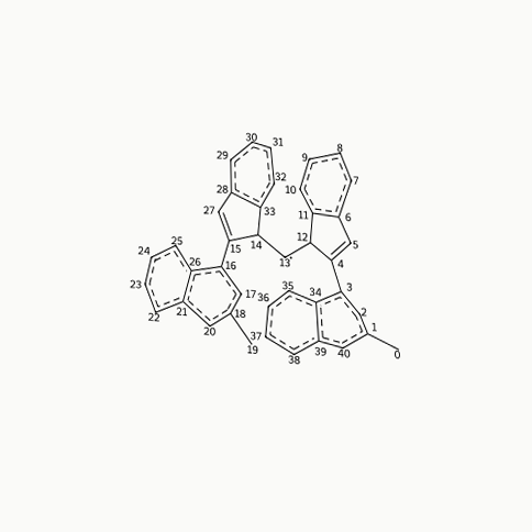 Cc1cc(C2=Cc3ccccc3C2[CH]C2C(c3cc(C)cc4ccccc34)=Cc3ccccc32)c2ccccc2c1